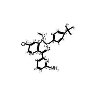 CON(Sc1ccc(C(C)(C)C)cc1)c1cc(Cl)cnc1C(=O)c1cccc(N)n1